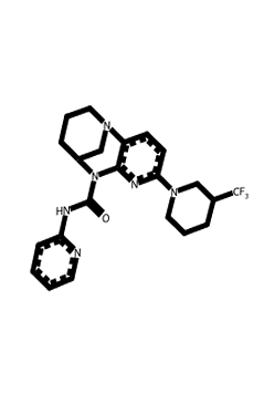 O=C(Nc1ccccn1)N1c2nc(N3CCCC(C(F)(F)F)C3)ccc2N2CCCC1C2